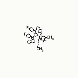 CCCCCCc1cc(C=C(C)C)sc1-c1cc(N(c2ccc(F)cc2)c2cccc3ccccc23)cc(N(c2ccc(F)cc2)c2cccc3ccccc23)c1